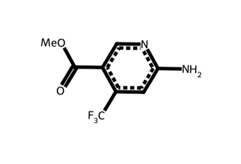 COC(=O)c1cnc(N)cc1C(F)(F)F